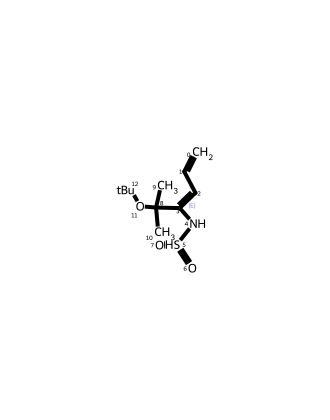 C=C/C=C(/N[SH](=O)=O)C(C)(C)OC(C)(C)C